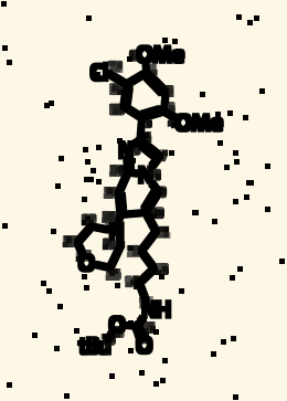 COc1cc(OC)c(-c2cn3cc(CCCCNC(=O)OC(C)(C)C)c(N4CCOCC4)cc3n2)cc1Cl